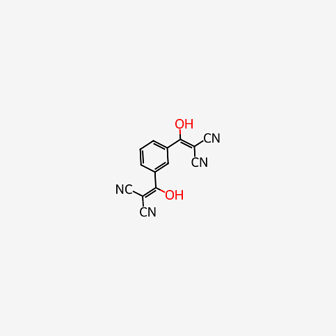 N#CC(C#N)=C(O)c1cccc(C(O)=C(C#N)C#N)c1